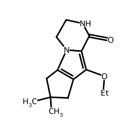 CCOc1c2c(n3c1C(=O)NCC3)CC(C)(C)C2